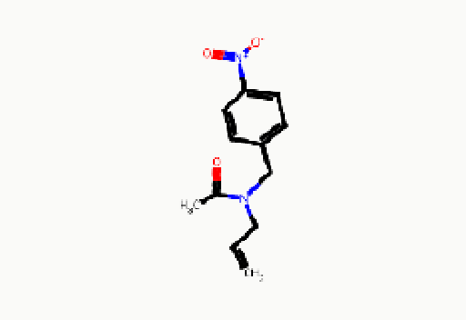 C=CCN(Cc1ccc([N+](=O)[O-])cc1)C(C)=O